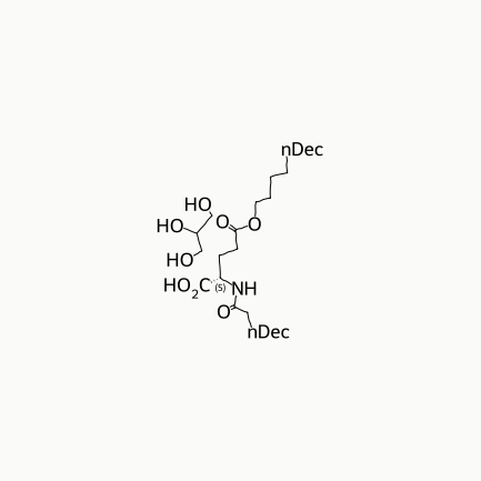 CCCCCCCCCCCCCCOC(=O)CC[C@H](NC(=O)CCCCCCCCCCC)C(=O)O.OCC(O)CO